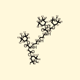 CN1C(C)(C)CC(OC(=O)C[C@H](NCCCNCCCN[C@@H](CC(=O)OC2CC(C)(C)N(C)C(C)(C)C2)C(=O)OC2CC(C)(C)N(C)C(C)(C)C2)C(=O)OC2CC(C)(C)N(C)C(C)(C)C2)CC1(C)C